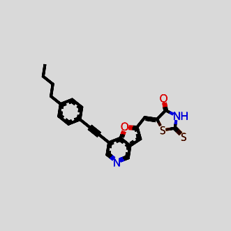 CCCCc1ccc(C#Cc2cncc3cc(/C=C4\SC(=S)NC4=O)oc23)cc1